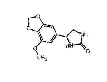 COc1cc(C2CNC(=O)N2)cc2c1OCO2